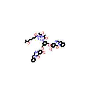 COc1cc2c(cc1OCc1cc(COc3cc4c(cc3OC)C(=O)N3c5ccccc5CC3C=N4)cc(NC(=O)C(C)NC(=O)C(C)NC(=O)CCCCC(=O)C(C)C)c1)N=CC1Cc3ccccc3N1C2=O